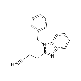 C#CCCc1nc2ccccc2n1Cc1ccccc1